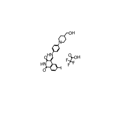 O=C(O)C(F)(F)F.O=C1NC(=O)c2ccc(I)cc2/C1=C/Nc1ccc(N2CCC(CO)CC2)cc1